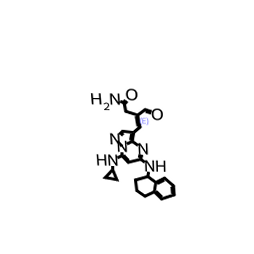 NC(=O)C/C(C=O)=C\c1cnn2c(NC3CC3)cc(NC3CCCc4ccccc43)nc12